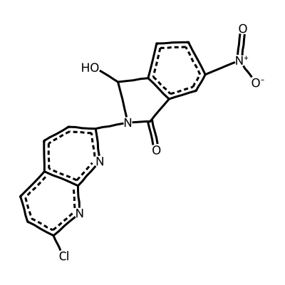 O=C1c2cc([N+](=O)[O-])ccc2C(O)N1c1ccc2ccc(Cl)nc2n1